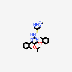 CN/C=C(\C=N)SNc1nc(Oc2ccccc2C)c(OC(C)C)c(-c2ccccc2C)n1